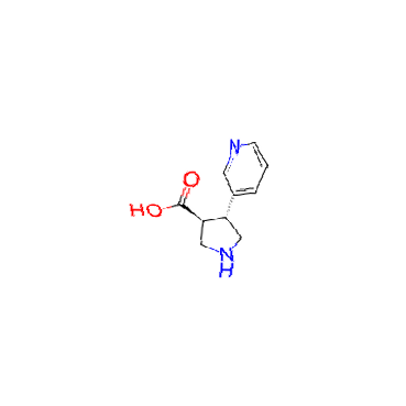 O=C(O)[C@@H]1CNC[C@H]1c1cccnc1